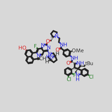 C#Cc1cccc2cc(O)cc(-c3ncc4c(N5C[C@H]6CC[C@@H](C5)N6)nc(OC[C@@H]5CCCN5CCNC(=O)c5ccc(NC(=O)[C@@H]6N[C@@H](CC(C)(C)C)[C@@]7(CNc8cc(Cl)ccc87)[C@H]6c6cccc(Cl)c6F)c(OC)c5)nc4c3F)c12